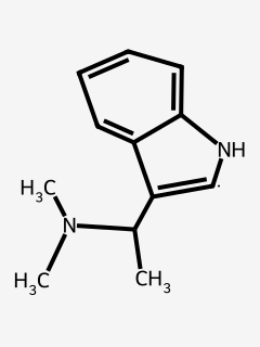 CC(c1[c][nH]c2ccccc12)N(C)C